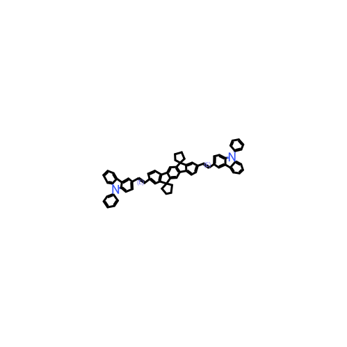 C(=C\c1ccc2c(c1)c1ccccc1n2-c1ccccc1)/c1ccc2c(c1)C1(CCCC1)c1cc3c(cc1-2)C1(CCCC1)c1cc(/C=C/c2ccc4c(c2)c2ccccc2n4-c2ccccc2)ccc1-3